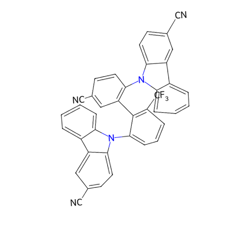 N#Cc1ccc(-n2c3ccccc3c3cc(C#N)ccc32)c(-c2c(-n3c4ccccc4c4cc(C#N)ccc43)cccc2C(F)(F)F)c1